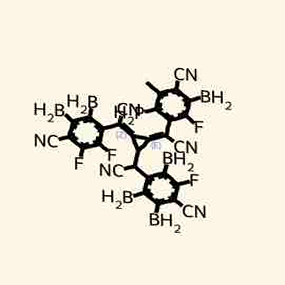 Bc1c(F)c(/C(C#N)=C2\C(=C(/C#N)c3c(B)c(B)c(C#N)c(F)c3F)C2C(C#N)c2c(B)c(B)c(C#N)c(F)c2B)c(P)c(C)c1C#N